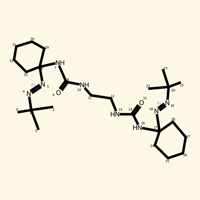 CC(C)(C)/N=N/C1(NC(=O)NCCNC(=O)NC2(/N=N/C(C)(C)C)CCCCC2)CCCCC1